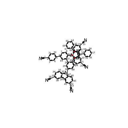 N#Cc1ccc(-c2ccc(-n3c4ccc(C#N)cc4c4cc(C#N)ccc43)c(-c3cc(-n4c5ccc(C#N)cc5c5cc(C#N)ccc54)ccc3-c3nc(-c4ccccc4)nc(-c4ccccc4)n3)c2)cc1